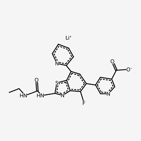 CCNC(=O)Nc1nc2c(F)c(-c3cncc(C(=O)[O-])c3)cc(-c3ccccn3)c2s1.[Li+]